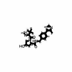 Cc1ncsc1-c1ccc(CNC(=O)C2CC(O)CN2C(=O)C(NI)C(C)(C)C)cc1